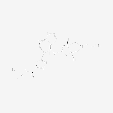 CC(C)(C#N)NC(=O)c1cnc(-c2cnc3[nH]ccc3c2NC2C[C@@H]3CN(CCC#N)C[C@@H]3C2)s1